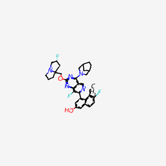 CCc1c(F)ccc2cc(O)cc(-c3ncc4c(N5CC6CCC(C6)C5)nc(OCC56CCCN5C[C@H](F)C6)nc4c3F)c12